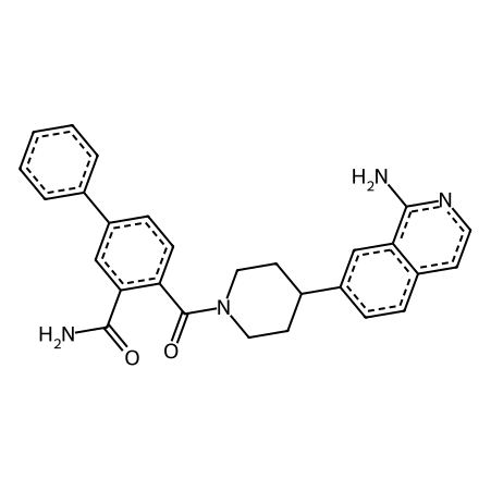 NC(=O)c1cc(-c2ccccc2)ccc1C(=O)N1CCC(c2ccc3ccnc(N)c3c2)CC1